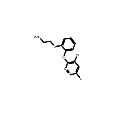 COCCOc1ccccc1Oc1nnc(Cl)cc1O